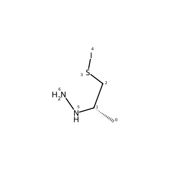 C[C@@H](CSI)NN